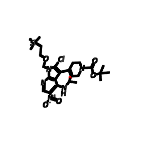 CC(C)Nc1c([N+](=O)[O-])cnc2c1c(C1=CCN(C(=O)OC(C)(C)C)CC1)c(Cl)n2COCC[Si](C)(C)C